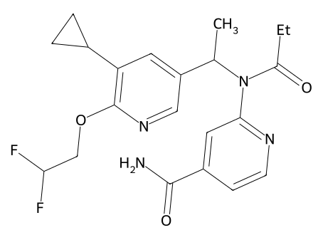 CCC(=O)N(c1cc(C(N)=O)ccn1)C(C)c1cnc(OCC(F)F)c(C2CC2)c1